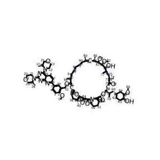 COc1ccc(-c2ccc3c(N4CCOC[C@@H]4C)nc(N4CCOC[C@@H]4C)nc3n2)cc1CO[C@@H]1C[C@@H]2CC[C@@H](C)[C@@](O)(O2)C(=O)C(=O)N2CCCC[C@H]2C(=O)O[C@H](C(C)C[C@H]2CC[C@@H](O)[C@H](OC)C2)CC(=O)[C@H](C)/C=C(\C)[C@@H](O)[C@@H](OC)C(=O)[C@H](C)C[C@H](C)/C=C/C=C/C=C\1C